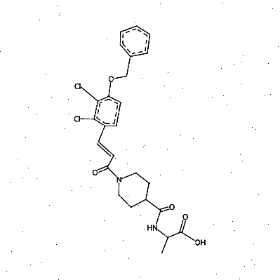 CC(NC(=O)C1CCN(C(=O)C=Cc2ccc(OCc3ccccc3)c(Cl)c2Cl)CC1)C(=O)O